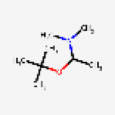 CC(OC(C)(C)C)N(C)C